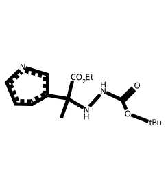 CCOC(=O)C(C)(NNC(=O)OC(C)(C)C)c1cccnc1